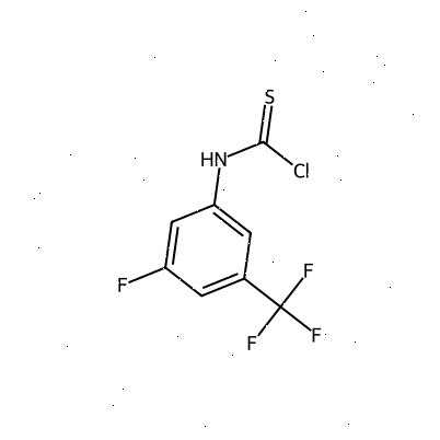 Fc1cc(NC(=S)Cl)cc(C(F)(F)F)c1